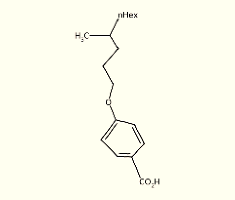 CCCCCCC(C)CCCOc1ccc(C(=O)O)cc1